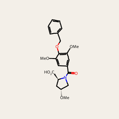 COc1cc(C(=O)N2C[C@H](OC)C[C@H]2C(=O)O)cc(OC)c1OCc1ccccc1